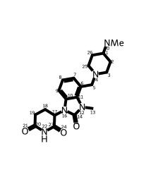 CNC1CCN(Cc2cccc3c2n(C)c(=O)n3C2CCC(=O)NC2=O)CC1